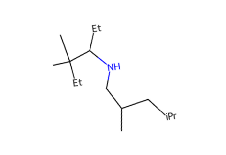 CCC(NCC(C)CC(C)C)C(C)(C)CC